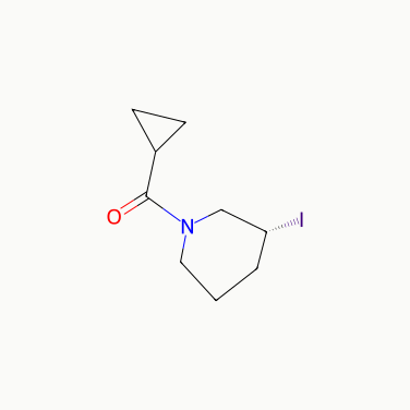 O=C(C1CC1)N1CCC[C@@H](I)C1